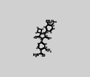 NC(=O)c1ncc(N2C(=O)C3(CCC3)N(c3ccc(F)c(C(=O)O)c3)C2=S)cc1C(F)(F)F